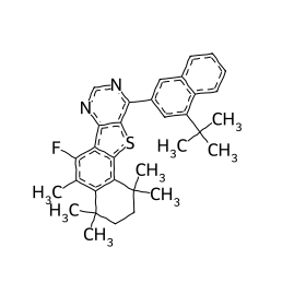 Cc1c2c(c3sc4c(-c5cc(C(C)(C)C)c6ccccc6c5)ncnc4c3c1F)C(C)(C)CCC2(C)C